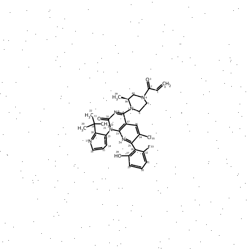 C=CC(=O)N1CCN(c2nc(=O)n(-c3cccnc3C(C)(C)C)c3nc(-c4c(O)cccc4F)c(Cl)cc23)[C@@H](C)C1